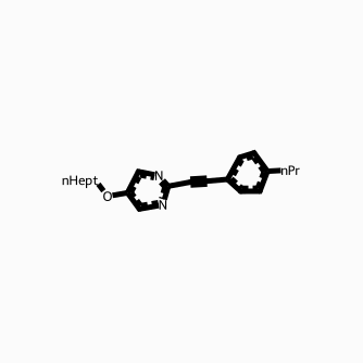 CCCCCCCOc1cnc(C#Cc2ccc(CCC)cc2)nc1